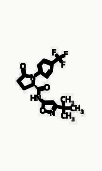 CC(C)(C)c1cc(NC(=O)[C@@H]2CCC(=O)N2c2ccc(C(F)(F)F)cc2)on1